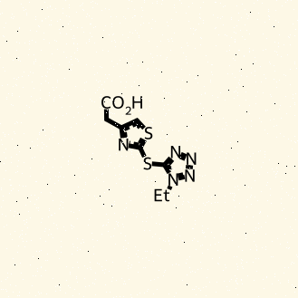 CCn1nnnc1Sc1nc(CC(=O)O)cs1